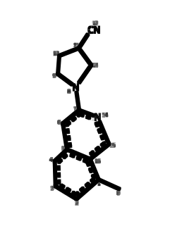 Cc1cccc2cc(N3CCC(C#N)C3)ncc12